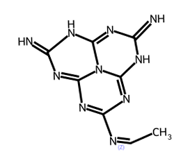 C/C=N\C1=NC2=NC(=N)NC3=NC(=N)NC(=N1)N23